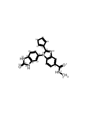 CNC(=O)c1ccc2c(c1)nc(C1=CCC=C1)n2-c1ccc2[nH]c(=O)[nH]c2c1